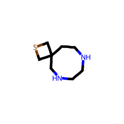 C1CNCC2(CCN1)CSC2